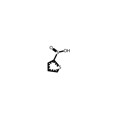 O=S(O)c1cccs1